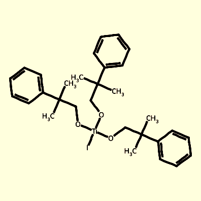 CC(C)(C[O][Ti]([I])([O]CC(C)(C)c1ccccc1)[O]CC(C)(C)c1ccccc1)c1ccccc1